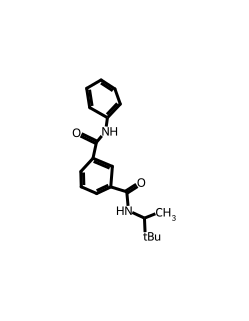 CC(NC(=O)c1cccc(C(=O)Nc2ccccc2)c1)C(C)(C)C